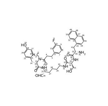 CN(C(=O)CCc1cccc(F)c1)[C@@H](Cc1ccc(O)cc1)C(=O)N[C@@H]([C]=O)CCCCNC(=O)[C@H](CO)NC(=O)[C@@H](N)Cc1cccc2ccccc12